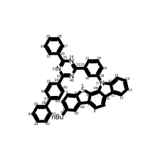 CCCCc1ccc2sc3c(ccc4c5ccccc5n(-c5cccc(-c6nc(-c7ccccc7)nc(-c7ccc(-c8ccccc8)cc7)n6)c5)c43)c2c1